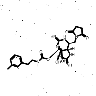 Cc1cccc(CCNC(=O)O[C@H]2CN3C(=N)N[C@@H](CN4C(=O)CCC4=O)[C@@H]4NC(=N)N[C@@]43C2(O)O)c1